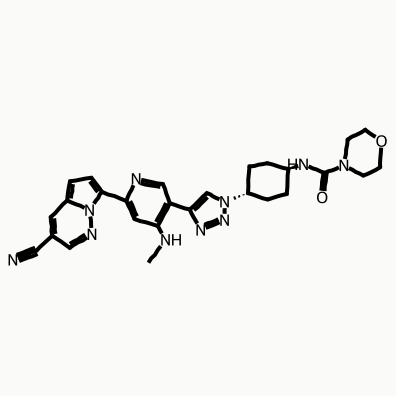 CNc1cc(-c2ccc3cc(C#N)cnn23)ncc1-c1cn([C@H]2CC[C@H](NC(=O)N3CCOCC3)CC2)nn1